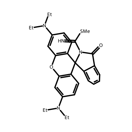 CCN(CC)c1ccc2c(c1)Oc1cc(N(CC)CC)ccc1C21c2ccccc2C(=O)N1C(=N)SC